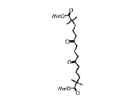 COC(=O)C(C)(C)CCCC(=O)CCCC(=O)CCCC(C)(C)C(=O)OC